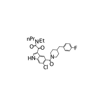 CCCN(CC)C(=O)C(=O)c1c[nH]c2cc(Cl)c(C(=O)N3CCC(Cc4ccc(F)cc4)CC3)cc12